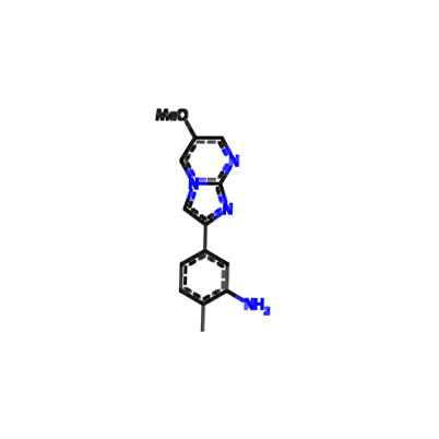 COc1cnc2nc(-c3ccc(C)c(N)c3)cn2c1